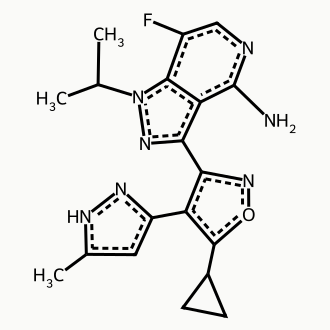 Cc1cc(-c2c(-c3nn(C(C)C)c4c(F)cnc(N)c34)noc2C2CC2)n[nH]1